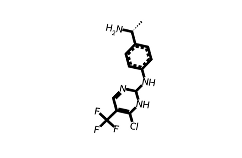 C[C@@H](N)c1ccc(NC2N=CC(C(F)(F)F)=C(Cl)N2)cc1